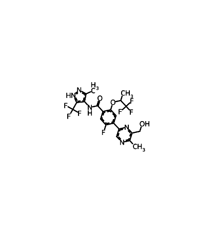 Cc1ncc(-c2cc(OC(C)C(F)(F)F)c(C(=O)Nc3c(C)n[nH]c3C(F)(F)F)cc2F)nc1CO